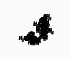 C/C=C(/c1ccccc1)C(C)(C#CC#Cc1cnc([C@@H]2CCCN2C(=O)[C@H](NC(=O)OC)c2ccccc2)[nH]1)/N=C(\N)[C@@H]1CCCN1C(=O)[C@@H](NC(=O)OC)C(C)C